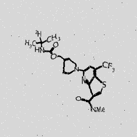 [2H]C(C)(C)NC(=O)OC1CCN(c2cc(C(F)(F)F)c3scc(C(=O)NC)c3n2)CC1